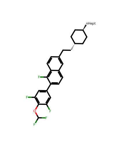 CCCCCCC[C@H]1CC[C@H](CCc2ccc3c(F)c(-c4cc(F)c(OC(F)F)c(F)c4)ccc3c2)CC1